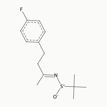 CC(CCc1ccc(F)cc1)=N[S+]([O-])C(C)(C)C